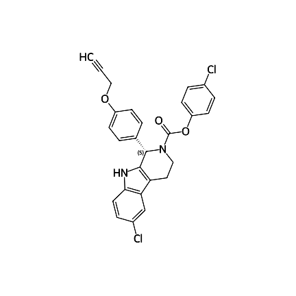 C#CCOc1ccc([C@H]2c3[nH]c4ccc(Cl)cc4c3CCN2C(=O)Oc2ccc(Cl)cc2)cc1